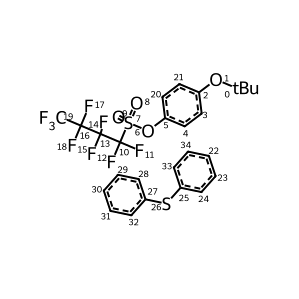 CC(C)(C)Oc1ccc(OS(=O)(=O)C(F)(F)C(F)(F)C(F)(F)C(F)(F)F)cc1.c1ccc(Sc2ccccc2)cc1